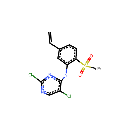 C=Cc1ccc(S(=O)(=O)CCC)c(Nc2nc(Cl)ncc2Cl)c1